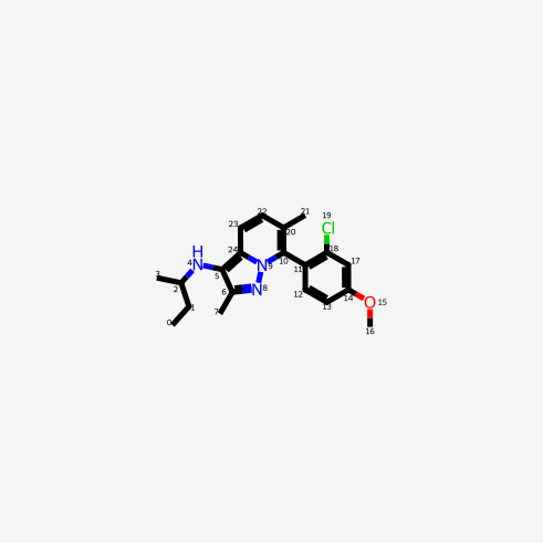 CCC(C)Nc1c(C)nn2c(-c3ccc(OC)cc3Cl)c(C)ccc12